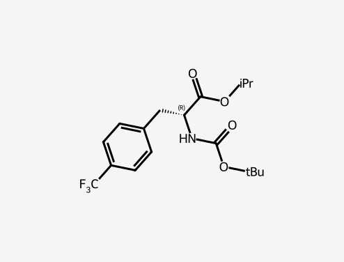 CC(C)OC(=O)[C@@H](Cc1ccc(C(F)(F)F)cc1)NC(=O)OC(C)(C)C